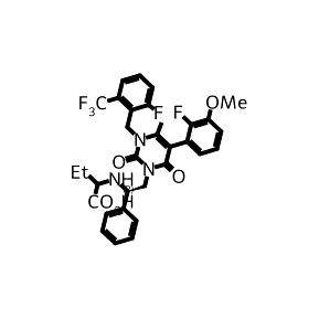 CCC(N[C@@H](Cn1c(=O)c(-c2cccc(OC)c2F)c(C)n(Cc2c(F)cccc2C(F)(F)F)c1=O)c1ccccc1)C(=O)O